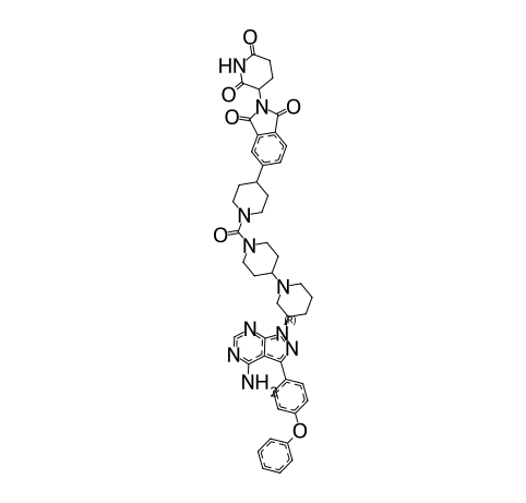 Nc1ncnc2c1c(-c1ccc(Oc3ccccc3)cc1)nn2[C@@H]1CCCN(C2CCN(C(=O)N3CCC(c4ccc5c(c4)C(=O)N(C4CCC(=O)NC4=O)C5=O)CC3)CC2)C1